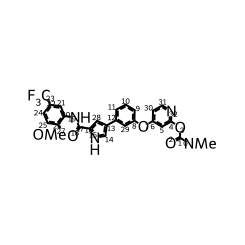 CNC(=O)Oc1cc(Oc2cccc(-c3c[nH]c(C(=O)Nc4cc(C(F)(F)F)ccc4OC)c3)c2)ccn1